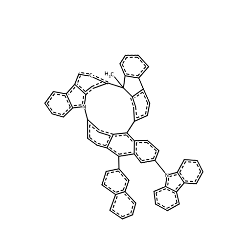 CC12c3ccc4c5ccccc5n(c4c3)-c3ccc4c(-c5ccc6ccccc6c5)c5cc(-n6c7ccccc7c7ccccc76)ccc5c(c4c3)-c3ccc(c1c3)-c1ccccc12